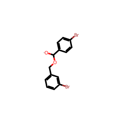 [O]C(OCc1cccc(Br)c1)c1ccc(Br)cc1